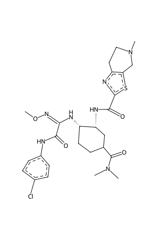 CO/N=C(/N[C@H]1CCC(C(=O)N(C)C)C[C@H]1NC(=O)c1nc2c(s1)CN(C)CC2)C(=O)Nc1ccc(Cl)cc1